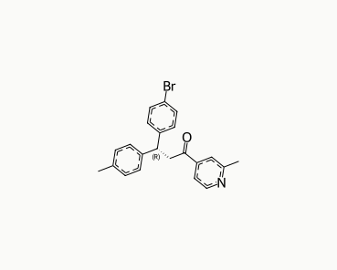 Cc1ccc([C@@H](CC(=O)c2ccnc(C)c2)c2ccc(Br)cc2)cc1